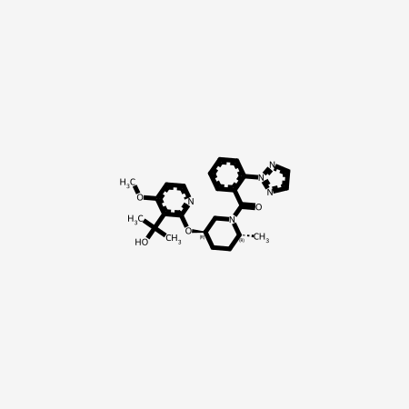 COc1ccnc(O[C@@H]2CC[C@@H](C)N(C(=O)c3ccccc3-n3nccn3)C2)c1C(C)(C)O